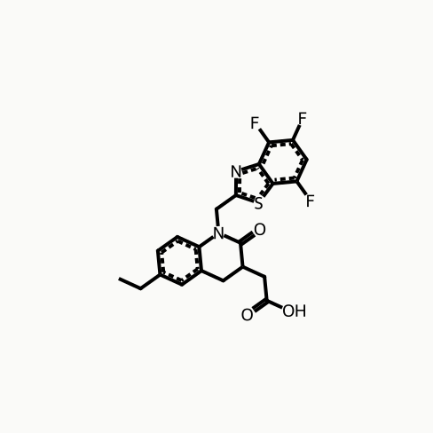 CCc1ccc2c(c1)CC(CC(=O)O)C(=O)N2Cc1nc2c(F)c(F)cc(F)c2s1